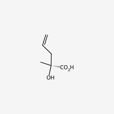 C=CC[C@](C)(O)C(=O)O